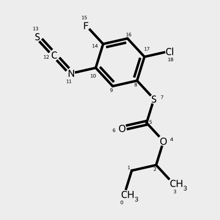 CCC(C)OC(=O)Sc1cc(N=C=S)c(F)cc1Cl